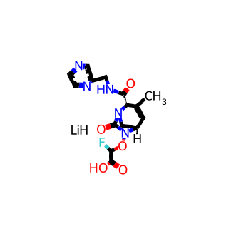 CC1=C[C@@H]2CN(C(=O)N2OC(F)C(=O)O)[C@@H]1C(=O)NCc1cnccn1.[LiH]